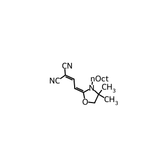 CCCCCCCCN1C(=CC=C(C#N)C#N)OCC1(C)C